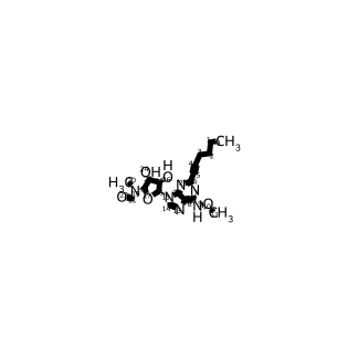 CCCCC#Cc1nc(NOC)c2ncn([C@@H]3O[C@H](N(C)C=O)[C@@H](O)[C@H]3O)c2n1